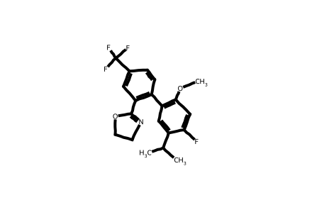 COc1cc(F)c(C(C)C)cc1-c1ccc(C(F)(F)F)cc1C1=NCCO1